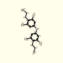 Clc1cc(Oc2cc(Cl)c(CCBr)c(Cl)c2)cc(Cl)c1CCBr